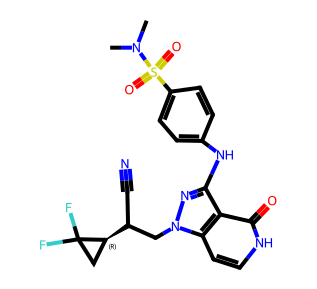 CN(C)S(=O)(=O)c1ccc(Nc2nn(CC(C#N)[C@H]3CC3(F)F)c3cc[nH]c(=O)c23)cc1